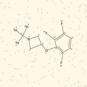 [2H]C([2H])([2H])N1CC(Oc2c(F)ccc(F)c2F)C1